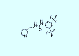 O=C(NCCc1cccnc1)Nc1cc(C(F)(F)F)cc(C(F)(F)F)c1